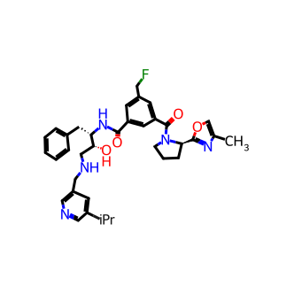 Cc1coc([C@H]2CCCN2C(=O)c2cc(CF)cc(C(=O)N[C@@H](Cc3ccccc3)[C@H](O)CNCc3cncc(C(C)C)c3)c2)n1